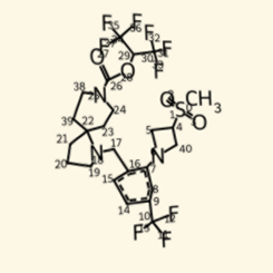 CS(=O)(=O)C1CN(c2cc(C(F)(F)F)ccc2CN2CCCC23CCN(C(=O)OC(C(F)(F)F)C(F)(F)F)CC3)C1